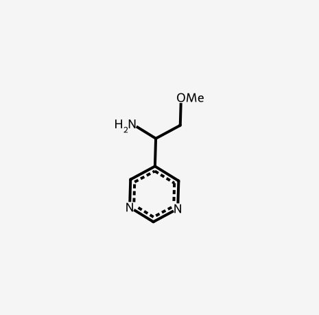 COCC(N)c1cncnc1